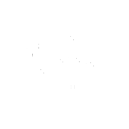 N#CCC1(N2CCC(N[C@@H]3C[C@H]3c3ccccc3)CC2)CN(S(N)(=O)=O)C1.O=S(=O)(O)CCO